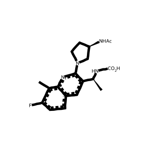 CC(=O)N[C@@H]1CCN(c2nc3c(C)c(F)ccc3cc2[C@H](C)NC(=O)O)C1